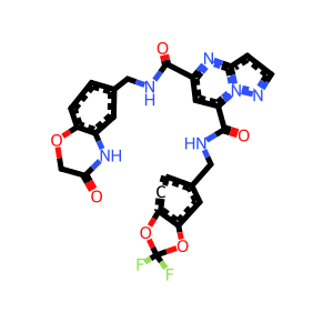 O=C1COc2ccc(CNC(=O)c3cc(C(=O)NCc4ccc5c(c4)OC(F)(F)O5)n4nccc4n3)cc2N1